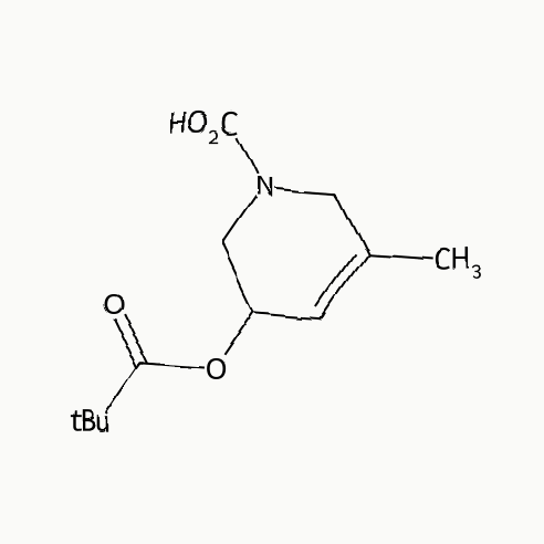 CC1=CC(OC(=O)C(C)(C)C)CN(C(=O)O)C1